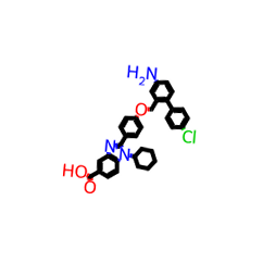 Nc1ccc(-c2ccc(Cl)cc2)c(COc2ccc(-c3nc4cc(C(=O)O)ccc4n3C3CCCCC3)cc2)c1